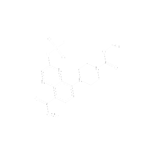 COC(=O)c1ccc(N2C[C@@H](C)N(C(=O)OC(C)(C)C)[C@@H](C)C2)c2nc(OS(=O)(=O)C(F)(F)F)cnc12